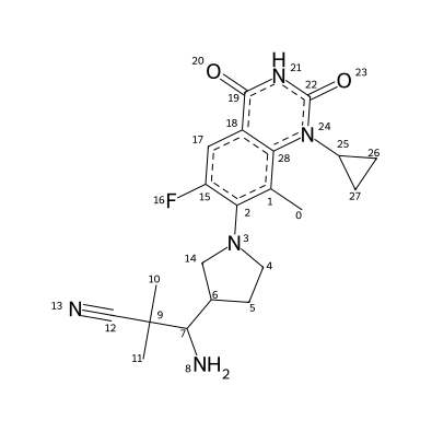 Cc1c(N2CCC(C(N)C(C)(C)C#N)C2)c(F)cc2c(=O)[nH]c(=O)n(C3CC3)c12